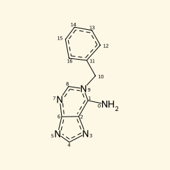 Nc1c2ncnc-2ncn1Cc1ccccc1